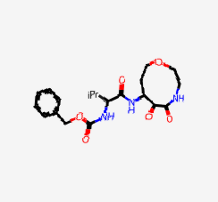 CC(C)C(NC(=O)OCc1ccccc1)C(=O)NC1CCOCCNC(=O)C1=O